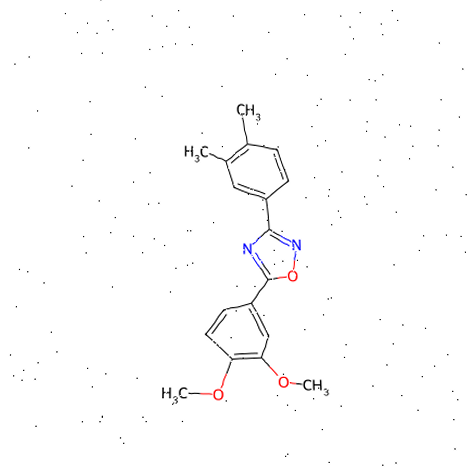 COc1ccc(-c2nc(-c3ccc(C)c(C)c3)no2)cc1OC